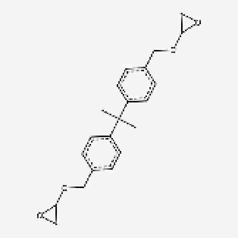 CC(C)(c1ccc(COC2CO2)cc1)c1ccc(COC2CO2)cc1